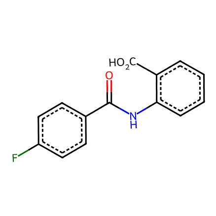 O=C(Nc1ccccc1C(=O)O)c1ccc(F)cc1